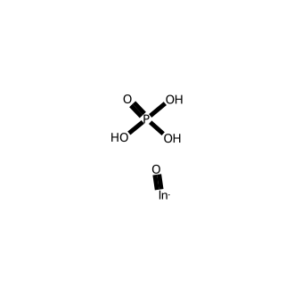 O=P(O)(O)O.[O]=[In]